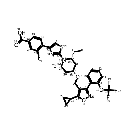 CC[C@@H]1C[C@H](OCc2c(-c3ccccc3OC(F)(F)F)noc2C2CC2)C[C@H](C)N1c1nc(-c2ccc(C(=O)O)cc2F)cs1